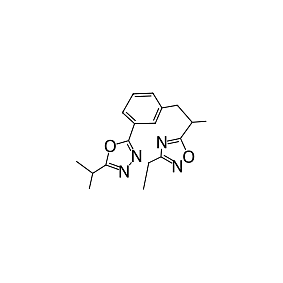 CCc1noc(C(C)Cc2cccc(-c3nnc(C(C)C)o3)c2)n1